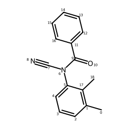 Cc1cccc(N(C#N)C(=O)c2ccccc2)c1C